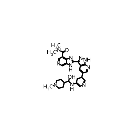 CN1CCC(C(O)NC2=CN=CC(c3cnc4[nH]nc(-c5nc6c(C(=O)N(C)C)cncc6[nH]5)c4c3)C2)CC1